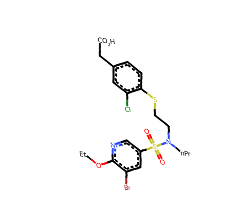 CCCN(CCSc1ccc(CC(=O)O)cc1Cl)S(=O)(=O)c1cnc(OCC)c(Br)c1